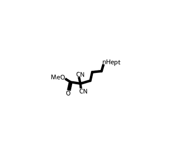 CCCCCCCCCCC(C#N)(C#N)C(=O)OC